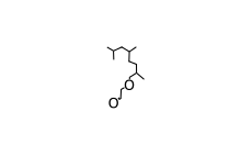 CC(C)CC(C)CCC(C)COCC=O